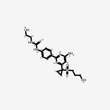 Nc1cc(C2(S(=O)(=O)CCCO)CC2)nc(-c2ccc(NC(=S)NCCO)cc2)n1